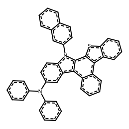 c1ccc(N(c2ccccc2)c2ccc3c(c2)c2c4ccccc4c4c5ccccc5sc4c2n3-c2ccc3ccccc3c2)cc1